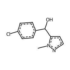 Cn1nccc1C(O)c1ccc(Cl)cc1